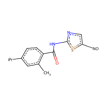 Cc1cc(C(C)C)ccc1C(=O)Nc1ncc(N=O)s1